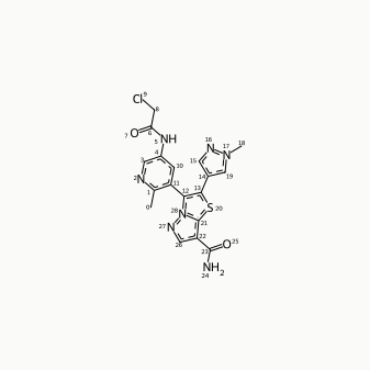 Cc1ncc(NC(=O)CCl)cc1-c1c(-c2cnn(C)c2)sc2c(C(N)=O)cnn12